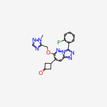 Cn1ncnc1COc1nn2c(-c3ccccc3F)nnc2cc1C1CC(=O)C1